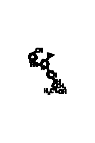 CC(C)(CO)CNc1ccc(-c2cc(C3CC3)cc(Nc3cc(C#N)ccn3)n2)cn1